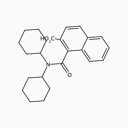 O=C(O)c1ccc2ccccc2c1C(=O)N(C1CCCCC1)C1CCCCC1